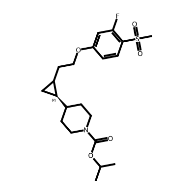 CC(C)OC(=O)N1CCC([C@H]2CC2CCOc2ccc(S(C)(=O)=O)c(F)c2)CC1